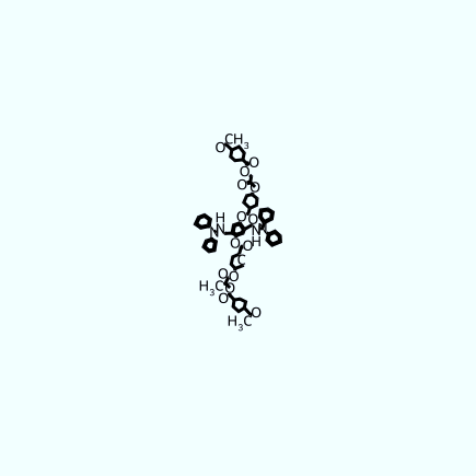 CC(=O)C1CCC(C(=O)OCC(=O)OC2CCC(C(=O)Oc3cc(CNN(c4ccccc4)c4ccccc4)c(OC(=O)C4CCC(OC(=O)C(C)OC(=O)C5CCC(C(C)=O)CC5)CC4)cc3CNN(c3ccccc3)c3ccccc3)CC2)CC1